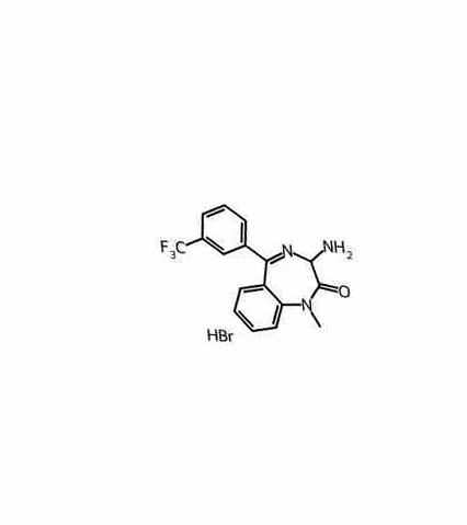 Br.CN1C(=O)C(N)N=C(c2cccc(C(F)(F)F)c2)c2ccccc21